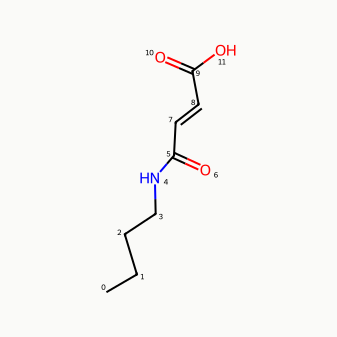 CCCCNC(=O)/C=C/C(=O)O